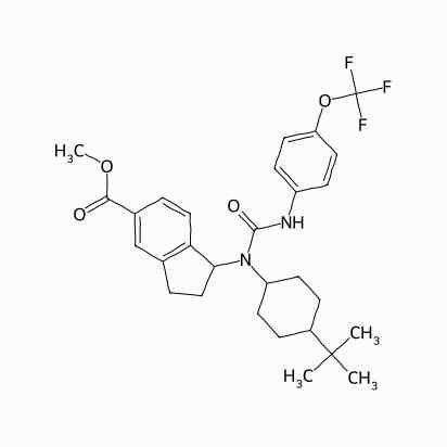 COC(=O)c1ccc2c(c1)CCC2N(C(=O)Nc1ccc(OC(F)(F)F)cc1)C1CCC(C(C)(C)C)CC1